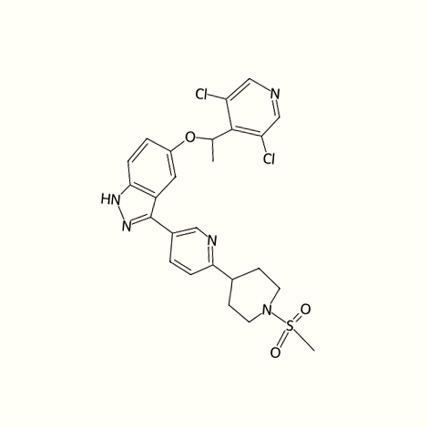 CC(Oc1ccc2[nH]nc(-c3ccc(C4CCN(S(C)(=O)=O)CC4)nc3)c2c1)c1c(Cl)cncc1Cl